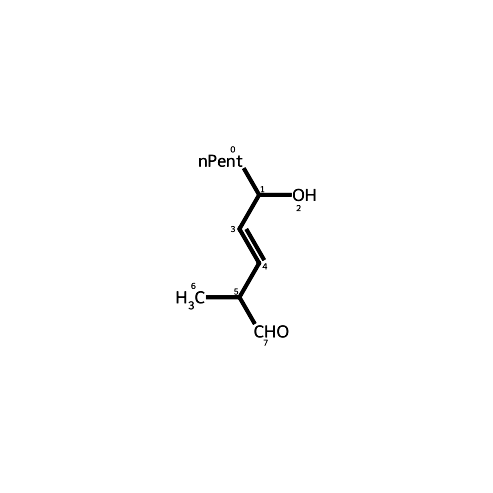 CCCCCC(O)C=CC(C)C=O